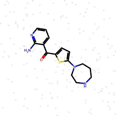 Nc1ncccc1C(=O)c1ccc(N2CCCNCC2)s1